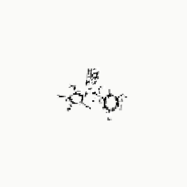 CC1=C(C)C(C)[C]([Ti][Si](C)(C)c2cc(C)cc(C)c2)=C1C.Cl.Cl.Cl